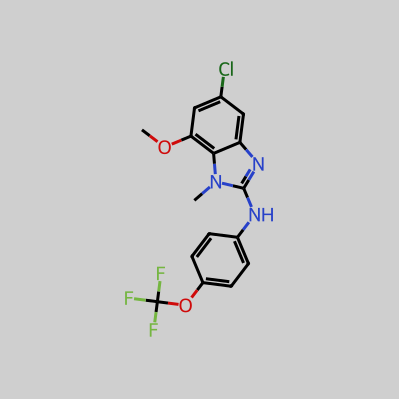 COc1cc(Cl)cc2nc(Nc3ccc(OC(F)(F)F)cc3)n(C)c12